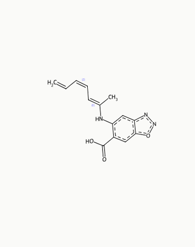 C=C/C=C\C=C(/C)Nc1cc2nnoc2cc1C(=O)O